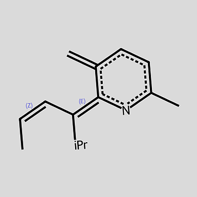 C=c1ccc(C)n/c1=C(/C=C\C)C(C)C